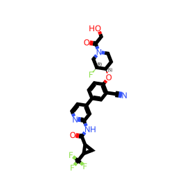 N#Cc1cc(-c2ccnc(NC(=O)C3CC3C(F)(F)F)c2)ccc1O[C@H]1CCN(C(=O)CO)C[C@H]1F